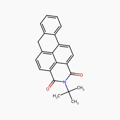 CC(C)(C)N1C(=O)c2ccc3c4c(ccc(c24)C1=O)-c1ccccc1C3